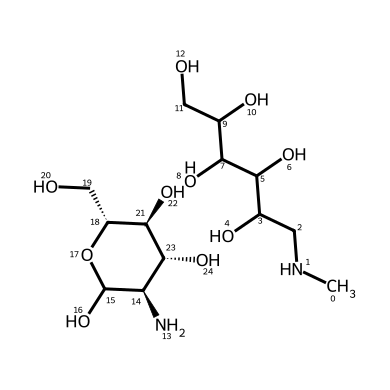 CNCC(O)C(O)C(O)C(O)CO.N[C@H]1C(O)O[C@H](CO)[C@@H](O)[C@@H]1O